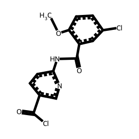 COc1ccc(Cl)cc1C(=O)Nc1ccc(C(=O)Cl)cn1